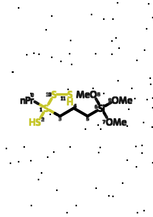 [CH2]CCS(S)(CCC[Si](OC)(OC)OC)SS